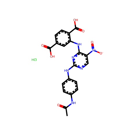 CC(=O)Nc1ccc(Nc2ncc([N+](=O)[O-])c(Nc3cc(C(=O)O)ccc3C(=O)O)n2)cc1.Cl